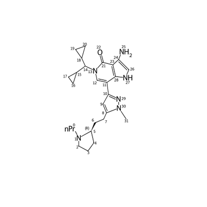 CCCN1CCC[C@@H]1CCc1cc(-c2cn(C(C3CC3)C3CC3)c(=O)c3c(N)c[nH]c23)nn1C